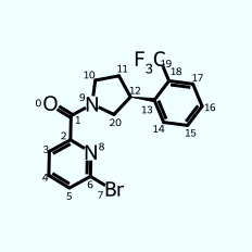 O=C(c1cccc(Br)n1)N1CC[C@@H](c2ccccc2C(F)(F)F)C1